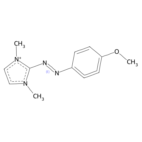 COC1=C=C=C(/N=N/c2n(C)cc[n+]2C)C=C1